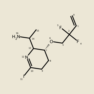 C=CC(F)(F)CO[C@@H]1CCC(I)=NC1C(C)N